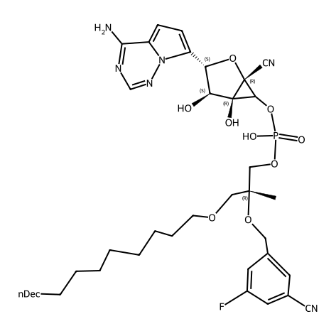 CCCCCCCCCCCCCCCCCCOC[C@](C)(COP(=O)(O)OC1[C@@]2(C#N)O[C@@H](c3ccc4c(N)ncnn34)[C@H](O)[C@@]12O)OCc1cc(F)cc(C#N)c1